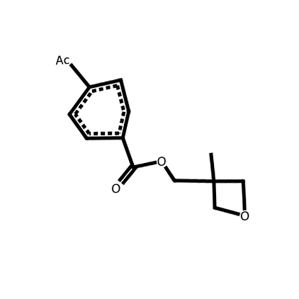 CC(=O)c1ccc(C(=O)OCC2(C)COC2)cc1